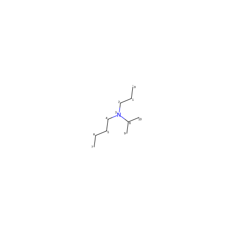 [CH2]CCN(CCCC)C(C)C